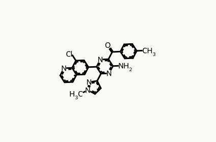 Cc1ccc(C(=O)c2nc(-c3cc(Cl)c4ncccc4c3)c(-c3ccn(C)n3)nc2N)cc1